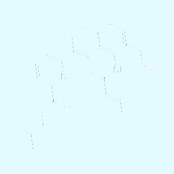 C/C=C/C(=O)Nc1c(COC)ccc2ccc(-c3cccc(C(=O)OCC(C)C)n3)cc12